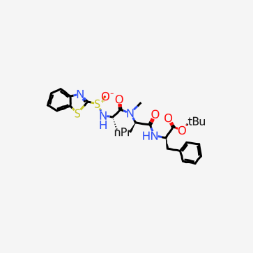 CCC[C@H](N[S+]([O-])c1nc2ccccc2s1)C(=O)N(C)[C@H](C)C(=O)N[C@H](Cc1ccccc1)C(=O)OC(C)(C)C